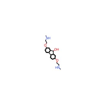 CNCCOc1ccc2c(c1)C(O)c1cc(OCCNC)ccc1-2